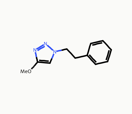 COc1cn(CCc2ccccc2)nn1